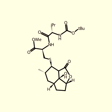 COC(=O)[C@H](CS[C@H]1C2C(=O)O[C@@H]3CC[C@H](C[C@@H]1C)[C@]23O)NC(=O)[C@@H](NC(=O)OC(C)(C)C)C(C)C